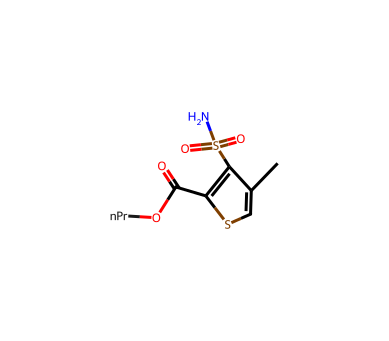 CCCOC(=O)c1scc(C)c1S(N)(=O)=O